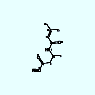 COC(=O)CC(C)NC(=O)C=C(C)C